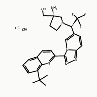 CC(C)(C)c1cccc2ccc(-c3nnc4ccc([C@@H](N5CC[C@@](N)(CO)C5)C(F)(F)F)cn34)nc12.Cl.Cl